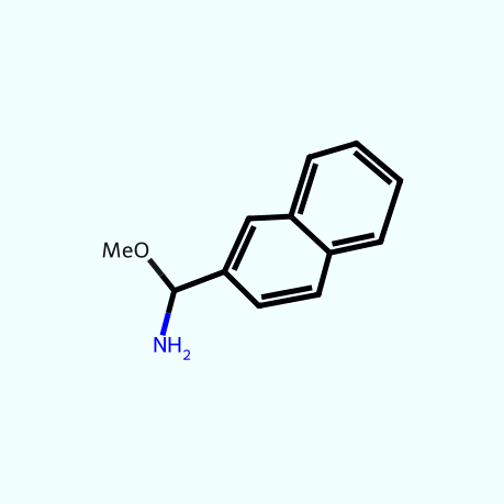 COC(N)c1ccc2ccccc2c1